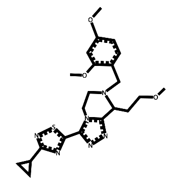 COCCC1c2nnc(-c3nc(C4CC4)ns3)n2CCN1Cc1ccc(OC)cc1OC